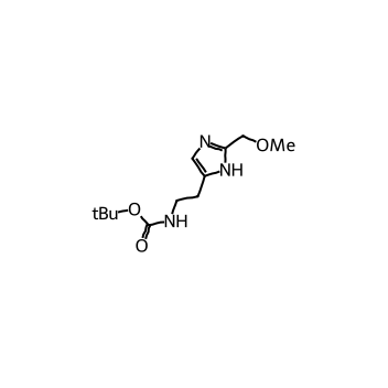 COCc1ncc(CCNC(=O)OC(C)(C)C)[nH]1